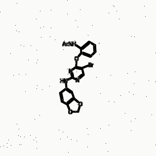 CC(=O)Nc1ccccc1Oc1nc(Nc2ccc3c(c2)OCO3)ncc1Br